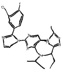 CC[C@@H]1c2nnc(C)n2-c2cnc(-n3ccnc3-c3ccc(F)c(Cl)c3)nc2N1C(C)C